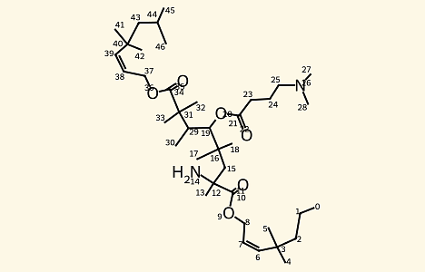 CCCC(C)(C)/C=C\COC(=O)C(C)(N)CC(C)(C)C(OC(=O)CCCN(C)C)C(C)C(C)(C)C(=O)OC/C=C\C(C)(C)CC(C)C